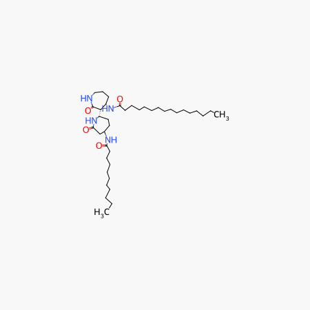 CCCCCCCCCCCCCCCC(=O)N[C@H]1CCCNC(=O)C1[C@@H]1CCC(NC(=O)CCCCCCCCCC)CC(=O)N1